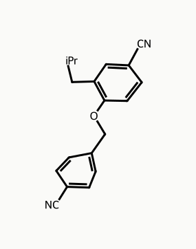 CC(C)Cc1cc(C#N)ccc1OCc1ccc(C#N)cc1